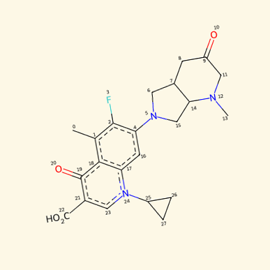 Cc1c(F)c(N2CC3CC(=O)CN(C)C3C2)cc2c1c(=O)c(C(=O)O)cn2C1CC1